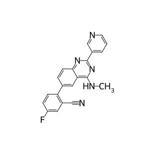 CNc1nc(-c2cccnc2)nc2ccc(-c3ccc(F)cc3C#N)cc12